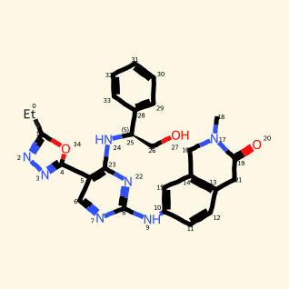 CCc1nnc(-c2cnc(Nc3ccc4c(c3)CN(C)C(=O)C4)nc2N[C@H](CO)c2ccccc2)o1